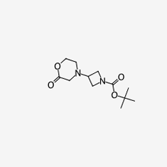 CC(C)(C)OC(=O)N1CC(N2CCOC(=O)C2)C1